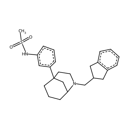 CS(=O)(=O)Nc1cccc(C23CCCC(C2)N(CC2Cc4ccccc4C2)CC3)c1